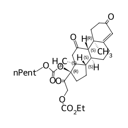 CCCCCOC(=O)O[C@]1(C(=O)COC(=O)OCC)CC[C@H]2[C@@H]3CCC4=CC(=O)CC[C@]4(C)[C@H]3C(=O)C[C@@]21C